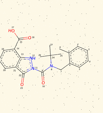 Cc1ccccc1CN(C(=O)n1[nH]c2c(C(=O)O)cccc2c1=O)C(C)(C)C